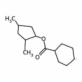 CC1CC(C)C(OC(=O)C2CC[CH]CC2)C1